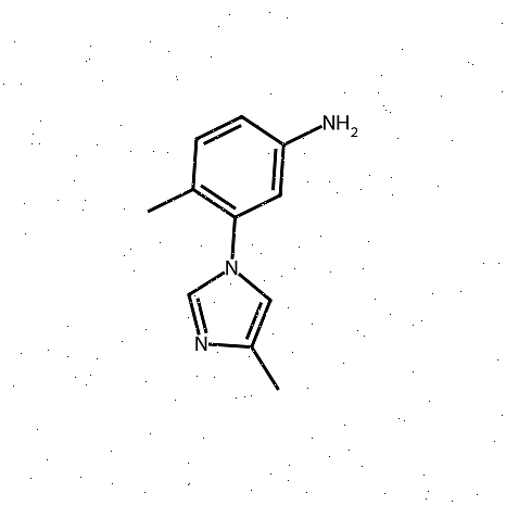 Cc1cn(-c2cc(N)ccc2C)cn1